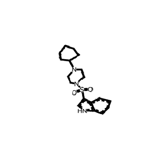 O=S(=O)(c1c[nH]c2ccccc12)N1CCN(C2CCCCC2)CC1